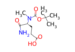 CN(C(=O)OC(C)(C)C)[C@@H](CCC(=O)O)C(N)=O